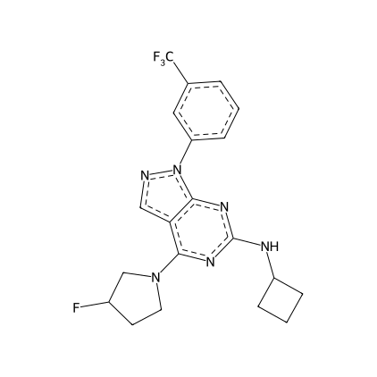 FC1CCN(c2nc(NC3CCC3)nc3c2cnn3-c2cccc(C(F)(F)F)c2)C1